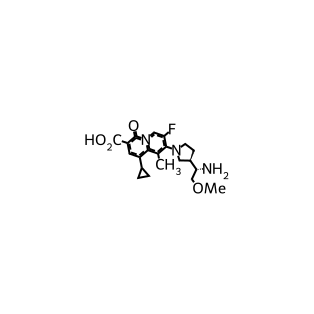 COC[C@@H](N)[C@@H]1CCN(c2c(F)cn3c(=O)c(C(=O)O)cc(C4CC4)c3c2C)C1